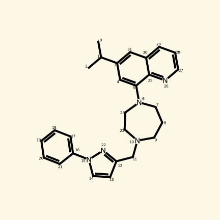 CC(C)c1cc(N2CCCN(Cc3ccn(-c4ccccc4)n3)CC2)c2ncccc2c1